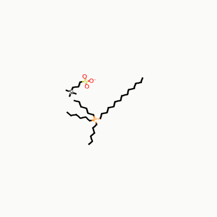 CCCCCCCCCCCCCC[P+](CCCCCC)(CCCCCC)CCCCCC.C[Si](C)(C)CCCS(=O)(=O)[O-]